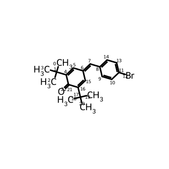 CC(C)(C)C1=CC(=Cc2ccc(Br)cc2)C=C(C(C)(C)C)C1=O